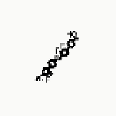 CCOc1ccc(-c2ccc(OCc3ccc(C4CCC(C(C)O)CC4)c(F)c3F)cc2)c(F)c1F